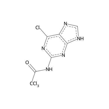 O=C(Nc1nc(Cl)c2nc[nH]c2n1)C(Cl)(Cl)Cl